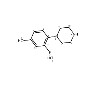 Cl.Oc1ccc(N2CCNCC2)c(F)c1